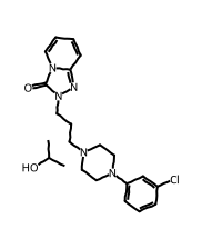 CC(C)O.O=c1n(CCCN2CCN(c3cccc(Cl)c3)CC2)nc2ccccn12